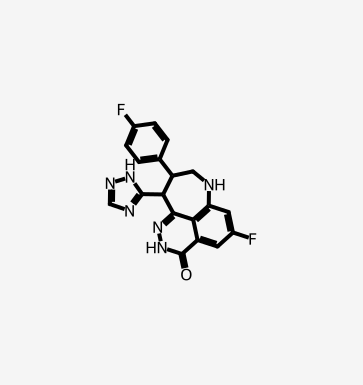 O=c1[nH]nc2c3c(cc(F)cc13)NCC(c1ccc(F)cc1)C2c1ncn[nH]1